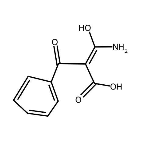 NC(O)=C(C(=O)O)C(=O)c1ccccc1